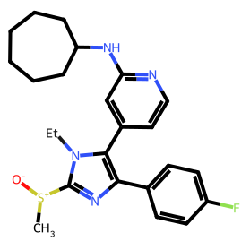 CCn1c([S+](C)[O-])nc(-c2ccc(F)cc2)c1-c1ccnc(NC2CCCCCC2)c1